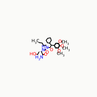 CCCCCN(C(=O)N[C@@H](CCO)C(N)=O)C(=O)C(c1cc(OC)c(OC)c(OC)c1)C1CCCCC1